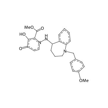 COC(=O)c1c(O)c(=O)ccn1NC1CCCN(Cc2ccc(OC)cc2)c2ccccc21